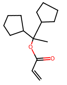 C=CC(=O)OC(C)(C1CCCC1)C1CCCC1